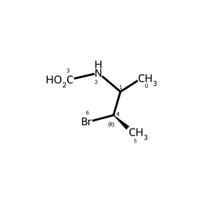 CC(NC(=O)O)[C@@H](C)Br